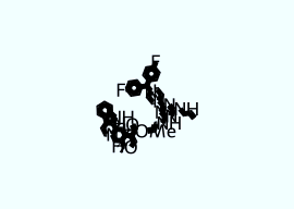 C=CCNc1nc(NCC=C)nc(N2CCN(C(c3ccc(F)cc3)c3ccc(F)cc3)CC2)n1.COC(=O)C1=CO[C@@H](C)[C@H]2CN3CCc4c([nH]c5ccccc45)[C@@H]3C[C@H]12